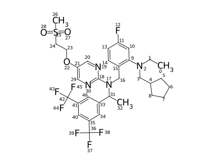 CCN(CC1CCCC1)c1cc(F)ccc1CN(c1ncc(OCCS(C)(=O)=O)cn1)C(C)c1cc(C(F)(F)F)cc(C(F)(F)F)c1